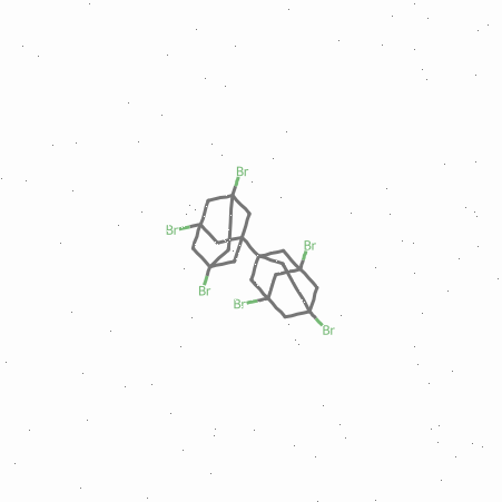 BrC12CC3(Br)CC(Br)(C1)CC(C14CC5(Br)CC(Br)(CC(Br)(C5)C1)C4)(C2)C3